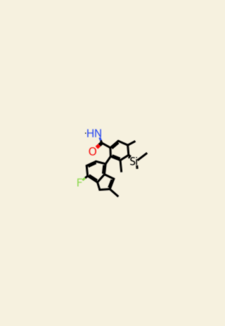 CC1=Cc2c(C3=C(C)C(=[Si](C)C)C(C)C=C3C([NH])=O)ccc(F)c2C1